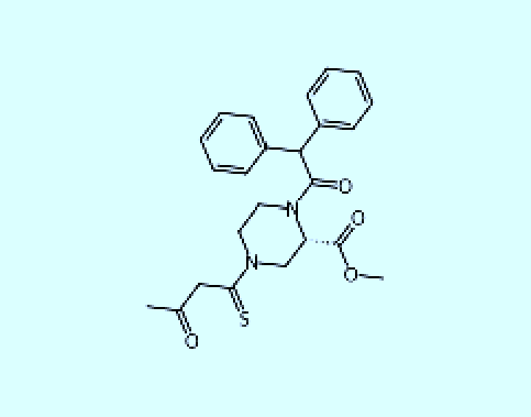 COC(=O)[C@@H]1CN(C(=S)CC(C)=O)CCN1C(=O)C(c1ccccc1)c1ccccc1